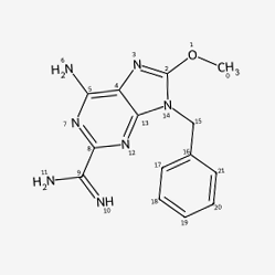 COc1nc2c(N)nc(C(=N)N)nc2n1Cc1ccccc1